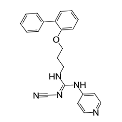 N#C/N=C(\NCCCOc1ccccc1-c1ccccc1)Nc1ccncc1